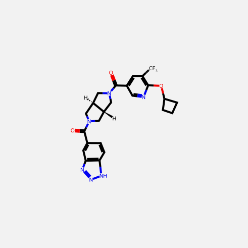 O=C(c1cnc(OC2CCC2)c(C(F)(F)F)c1)N1C[C@@H]2CN(C(=O)c3ccc4[nH]nnc4c3)C[C@H]2C1